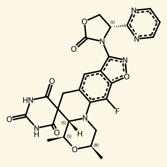 C[C@@H]1CN2c3c(cc4c(N5C(=O)OC[C@@H]5c5ncccn5)noc4c3F)CC3(C(=O)NC(=O)NC3=O)[C@H]2[C@H](C)O1